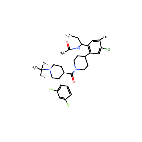 CCC(NC(C)=O)c1cc(C)c(Cl)cc1C1CCN(C(=O)[C@@H]2CCN(C(C)(C)C)C[C@H]2c2ccc(F)cc2F)CC1